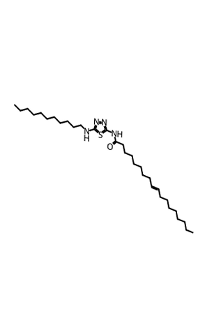 CCCCCCCC/C=C/CCCCCCCC(=O)Nc1nnc(NCCCCCCCCCCC)s1